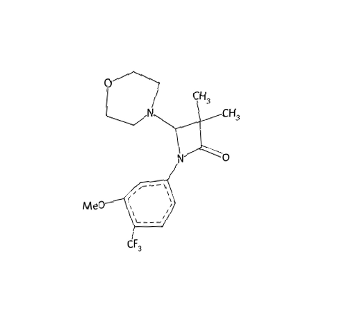 COc1cc(N2C(=O)C(C)(C)C2N2CCOCC2)ccc1C(F)(F)F